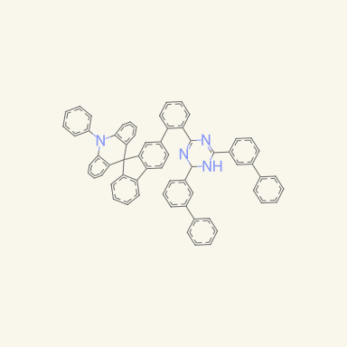 c1ccc(-c2cccc(C3=NC(c4ccccc4-c4ccc5c(c4)C4(c6ccccc6-5)c5ccccc5N(c5ccccc5)c5ccccc54)=NC(c4cccc(-c5ccccc5)c4)N3)c2)cc1